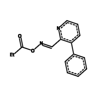 CCC(=O)ON=Cc1ncccc1-c1ccccc1